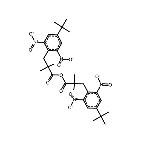 CC(C)(Cc1c([N+](=O)[O-])cc(C(C)(C)C)cc1[N+](=O)[O-])C(=O)OC(=O)C(C)(C)Cc1c([N+](=O)[O-])cc(C(C)(C)C)cc1[N+](=O)[O-]